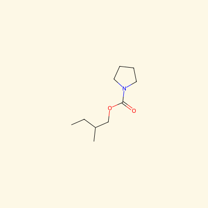 CCC(C)COC(=O)N1CCCC1